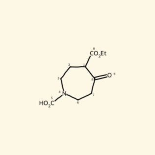 CCOC(=O)C1CCN(C(=O)O)CCC1=O